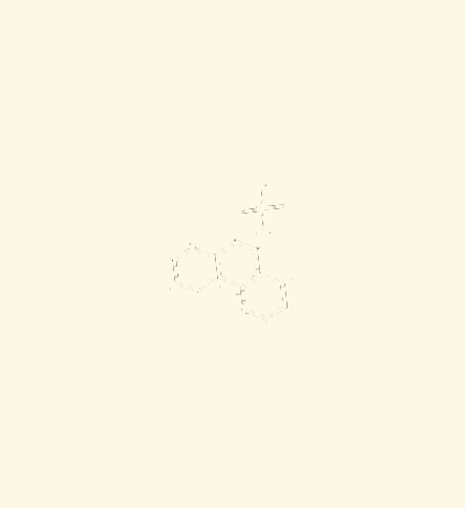 O=S(=O)(O)O.c1cnc2c(c1)ccc1ncccc12